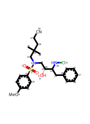 COc1ccc(S(=O)(=O)N(C[C@@H](O)C(Cc2ccccc2)NCl)CC(C)(C)CCC#N)cc1